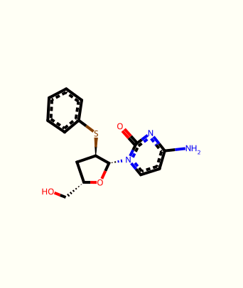 Nc1ccn([C@@H]2O[C@H](CO)C[C@H]2Sc2ccccc2)c(=O)n1